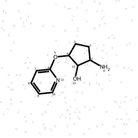 NC1CCC(Oc2ccccn2)C1O